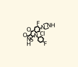 O=c1[nH]sc2c1c(=O)c1cc(F)c(N3CCNCC3)c(Cl)c1n2-c1ccc(F)cc1